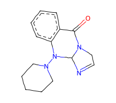 O=C1c2ccccc2N(N2CCCCC2)C2N=CCN12